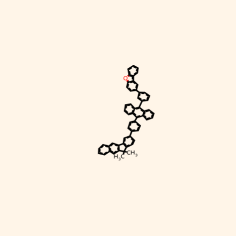 CC1(C)c2ccc(-c3ccc(-c4c5ccccc5c(-c5cccc(-c6ccc7oc8ccccc8c7c6)c5)c5ccccc45)cc3)cc2-c2cc3ccccc3cc21